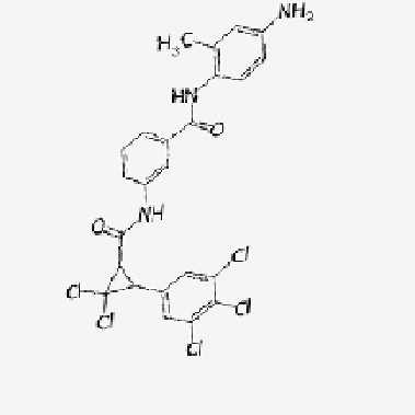 Cc1cc(N)ccc1NC(=O)c1cccc(NC(=O)C2C(c3cc(Cl)c(Cl)c(Cl)c3)C2(Cl)Cl)c1